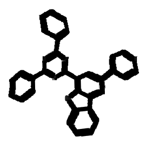 c1ccc(-c2nc(-c3ccccc3)nc(-c3cc(-c4ccncc4)cc4c3oc3ccccc34)n2)cc1